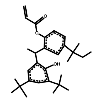 C=CC(=O)Oc1ccc(C(C)(C)CC)cc1C(C)c1cc(C(C)(C)C)cc(C(C)(C)C)c1O